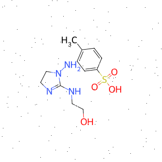 Cc1ccc(S(=O)(=O)O)cc1.NN1CCN=C1NCCO